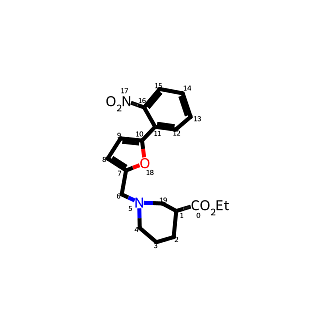 CCOC(=O)C1CCCN(Cc2ccc(-c3ccccc3[N+](=O)[O-])o2)C1